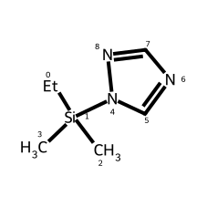 CC[Si](C)(C)n1cncn1